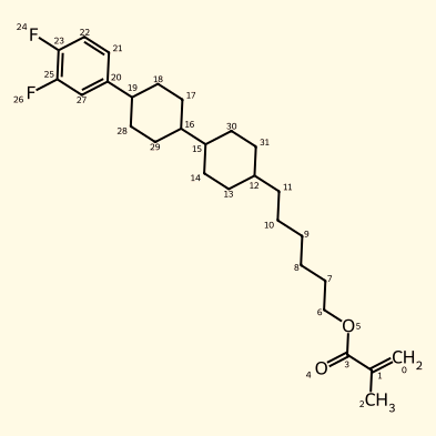 C=C(C)C(=O)OCCCCCCC1CCC(C2CCC(c3ccc(F)c(F)c3)CC2)CC1